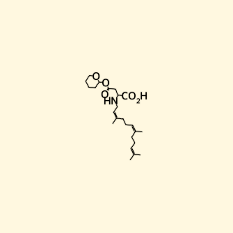 CC(C)=CCCC(C)=CCCC(C)=CCNC(CC(=O)OC1CCCCO1)C(=O)O